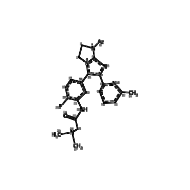 CC(=O)N1CCn2c1nc(-c1cccc(C)n1)c2-c1ccc(F)c(NC(=O)CN(C)C)c1